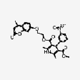 COC(=O)C1=C(C)NC(C)=C(C(=O)OCCOc2ccc3c(C)cc(=O)oc3c2)C1c1cccc([N+](=O)[O-])c1